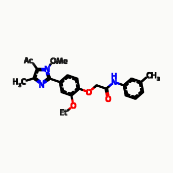 CCOc1cc(-c2nc(C)c(C(C)=O)n2OC)ccc1OCC(=O)Nc1cccc(C)c1